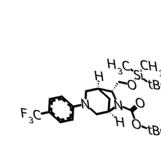 CC(C)(C)OC(=O)N1[C@@H]2C[C@@H](CN(c3ccc(C(F)(F)F)cc3)C2)[C@@H]1CO[Si](C)(C)C(C)(C)C